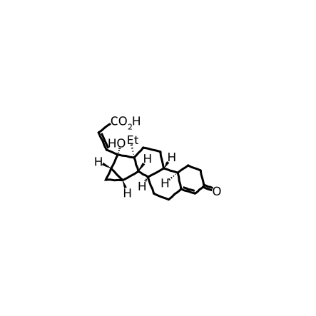 CC[C@]12CC[C@H]3[C@@H](CCC4=CC(=O)CC[C@@H]43)[C@@H]1[C@@H]1C[C@@H]1[C@@]2(O)/C=C\C(=O)O